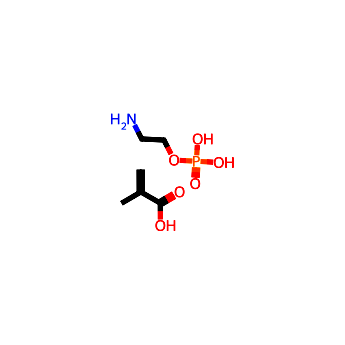 C=C(C)C(=O)O.NCCOP(=O)(O)O